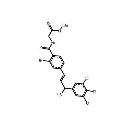 CC(C)(C)OC(=O)CNC(=O)c1ccc(C=CC(c2cc(Cl)c(Cl)c(Cl)c2)C(F)(F)F)cc1Br